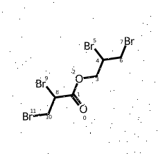 O=C(OCC(Br)CBr)C(Br)CBr